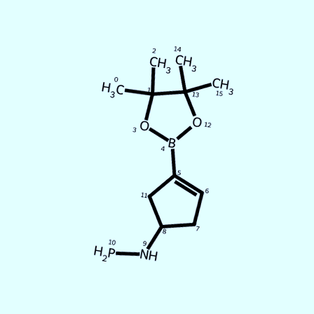 CC1(C)OB(C2=CCC(NP)C2)OC1(C)C